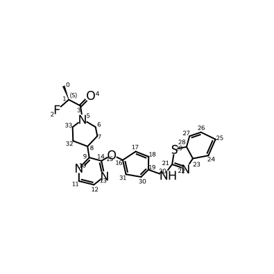 C[C@H](F)C(=O)N1CCC(c2nccnc2Oc2ccc(NC3=NC4C=CC=CC4S3)cc2)CC1